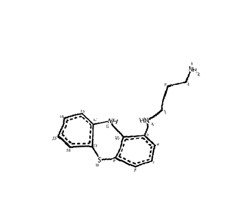 NCCCNc1cccc2c1Nc1ccccc1S2